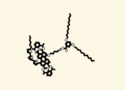 CCCCCCCCCCCCOc1cc(OCCCCCCCCCCCC)cc(C(=O)OCCCCCCOc2cc3c4c(ccc5c6c(-c7ccc(-c8ccc(-c9ccc(CCCCCC)s9)s8)s7)cc7c8c(ccc(c2c45)c86)C(=O)N(c2c(C(C)C)cccc2C(C)C)C7=O)C(=O)N(c2c(C(C)C)cccc2C(C)C)C3=O)c1